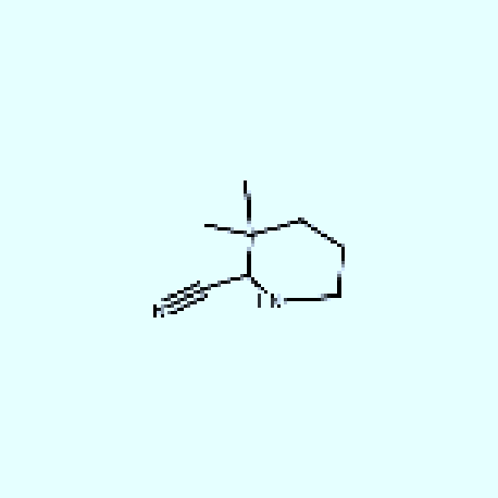 CC1(C)CCCNC1C#N